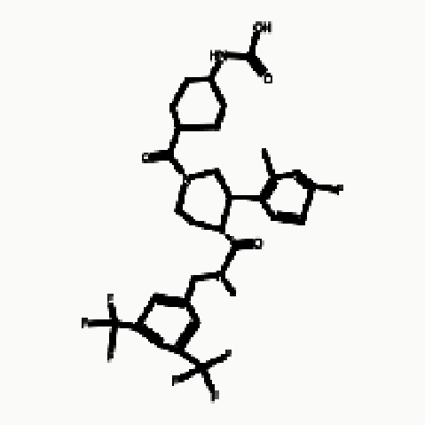 Cc1cc(F)ccc1[C@@H]1CN(C(=O)C2CCC(NC(=O)O)CC2)CC[C@H]1C(=O)N(C)Cc1cc(C(F)(F)F)cc(C(F)(F)F)c1